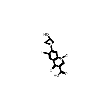 O=C(O)c1cn(Cl)c2cc(N3CC(O)C3)c(F)cc2c1=O